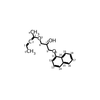 CC=C=C(C)OCC(O)COc1cccc2ccccc12